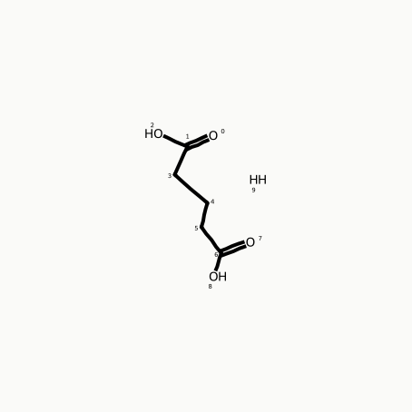 O=C(O)CCCC(=O)O.[HH]